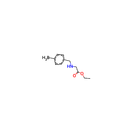 Bc1ccc(CNCC(=O)OCC)cc1